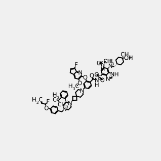 C=CC(F)Oc1ccc(CN2CCN(C3CC4(CCN(c5ccc(C(=O)NS(=O)(=O)c6cc([NH+](C)[O-])c(NC[C@H]7CC[C@](C)(O)CC7)c7[nH]cnc67)c(Oc6nc7c(cc6OC)CC=C7F)c5)CC4)C3)[C@H](c3ccccc3C(C)C)C2)cc1